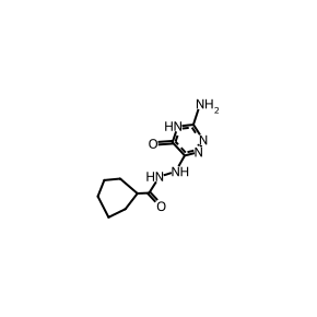 Nc1nnc(NNC(=O)C2CCCCC2)c(=O)[nH]1